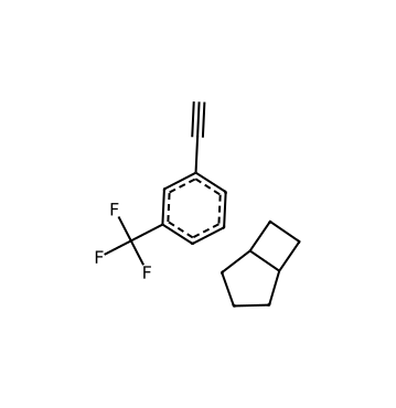 C#Cc1cccc(C(F)(F)F)c1.C1CC2CCC2C1